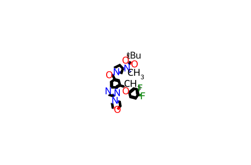 CC(Oc1ccc(F)c(F)c1)c1cc(C(=O)N2CCC(N(C)C(=O)OC(C)(C)C)C2)cc2ncc(N3CCOCC3)nc12